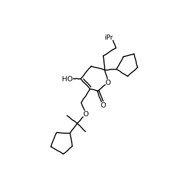 CC(C)CCC1(C2CCCC2)CC(O)=C(COC(C)(C)C2CCCC2)C(=O)O1